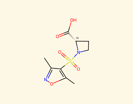 Cc1noc(C)c1S(=O)(=O)N1CC[C@H]1C(=O)O